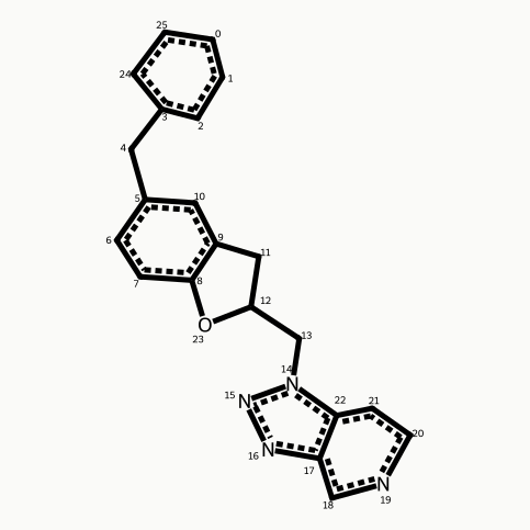 c1ccc(Cc2ccc3c(c2)CC(Cn2nnc4cnccc42)O3)cc1